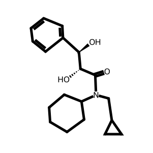 O=C([C@H](O)[C@H](O)c1ccccc1)N(CC1CC1)C1CCCCC1